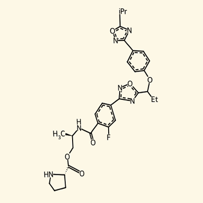 CCC(Oc1ccc(-c2noc(C(C)C)n2)cc1)c1nc(-c2ccc(C(=O)N[C@H](C)COC(=O)[C@@H]3CCCN3)c(F)c2)no1